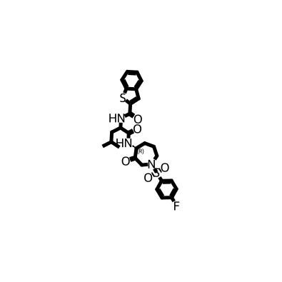 CC(C)CC(NC(=O)c1cc2ccccc2s1)C(=O)N[C@@H]1CCCN(S(=O)(=O)c2ccc(F)cc2)CC1=O